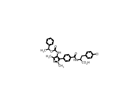 Cc1nn(C)c(-c2ccc(C(=O)NC(Cc3ccc(Cl)cc3)C(=O)O)cc2)c1NC(=O)OC(C)c1ccccc1